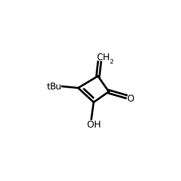 C=C1C(=O)C(O)=C1C(C)(C)C